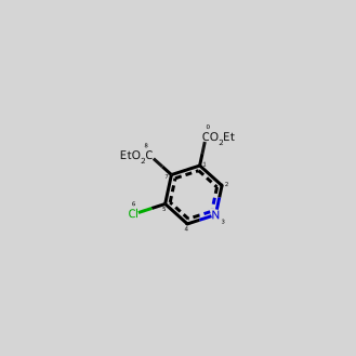 CCOC(=O)c1cncc(Cl)c1C(=O)OCC